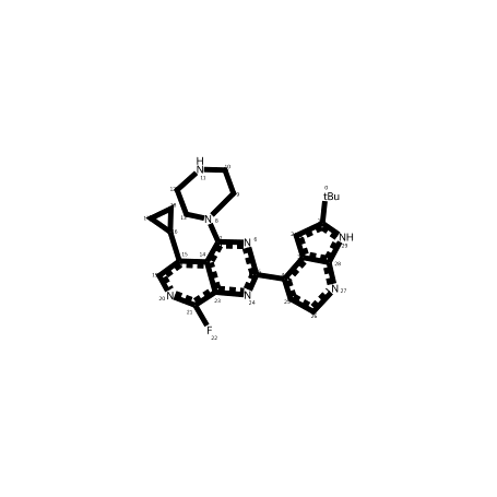 CC(C)(C)c1cc2c(-c3nc(N4CCNCC4)c4c(C5CC5)cnc(F)c4n3)ccnc2[nH]1